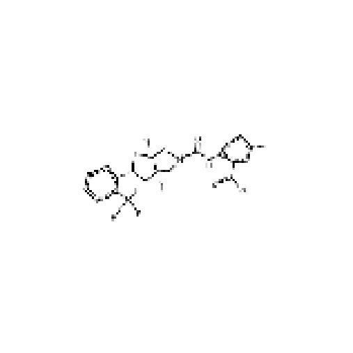 O=C(O)c1cc(F)ccc1NC(=O)N1C[C@H]2C[C@H](c3ccccc3C(F)(F)F)C[C@H]2C1